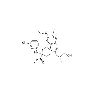 CCOc1cc2c(cc1C)C=C(C[C@@H](C)CO)C21CCC(Nc2cccc(Cl)c2)(C(=O)OC)CC1